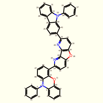 c1ccc(N2c3ccccc3Oc3c(-c4ccc5oc6ccc(-c7ccc8c9ccccc9n(-c9ccccc9)c8c7)nc6c5n4)cccc32)cc1